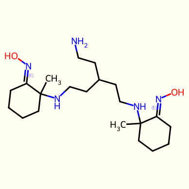 CC1(NCCC(CCN)CCNC2(C)CCCC/C2=N\O)CCCC/C1=N\O